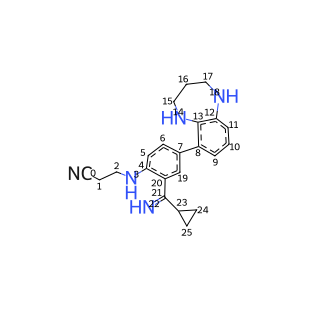 N#CCCNc1ccc(-c2cccc3c2NCCCN3)cc1C(=N)C1CC1